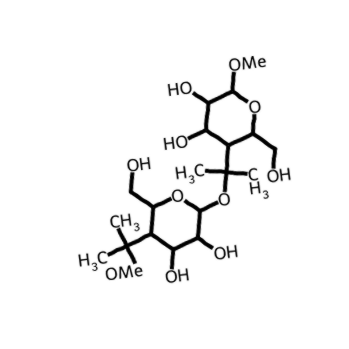 COC1OC(CO)C(C(C)(C)OC2OC(CO)C(C(C)(C)OC)C(O)C2O)C(O)C1O